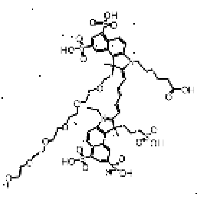 CC[N+]1=C(/C=C/C=C/C=C2/N(CCCCCC(=O)O)c3ccc4c(S(=O)(=O)O)cc(S(=O)(=O)O)cc4c3C2(C)CCOCCOCCOCCOCCOCCOC)C(C)(CCCS(=O)(=O)O)c2c1ccc1c(S(=O)(=O)O)cc(S(=O)(=O)O)cc21